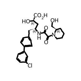 O=C(N[C@H](Cc1ccc(-c2cccc(Cl)c2)cc1)C[C@@H](O)C(=O)O)C(=O)N1CCCC[C@@H]1CO